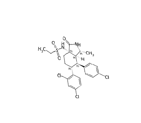 CCS(=O)(=O)N[C@@]12CC[C@@H](c3ccc(Cl)cc3Cl)[C@H](c3ccc(Cl)cc3)[C@@H]1[C@@H](C)NC2=O